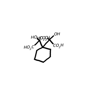 O=C(O)C(O)(C(=O)O)C1(C(O)(C(=O)O)C(=O)O)CCCCC1